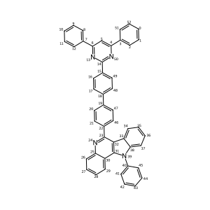 c1ccc(-c2cc(-c3ccccc3)nc(-c3ccc(-c4ccc(-c5nc6ccccc6c6c5c5ccccc5n6-c5ccccc5)cc4)cc3)n2)cc1